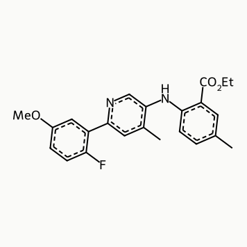 CCOC(=O)c1cc(C)ccc1Nc1cnc(-c2cc(OC)ccc2F)cc1C